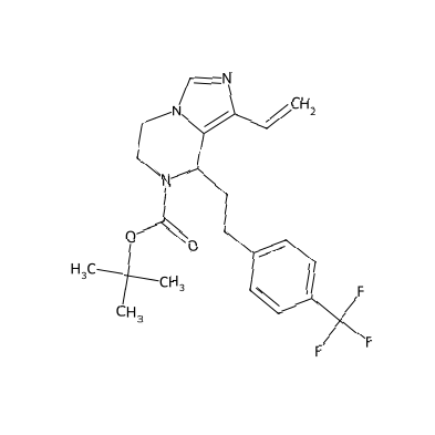 C=Cc1ncn2c1C(CCc1ccc(C(F)(F)F)cc1)N(C(=O)OC(C)(C)C)CC2